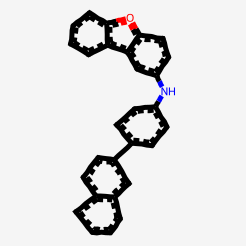 c1ccc2cc(-c3ccc(Nc4ccc5oc6ccccc6c5c4)cc3)ccc2c1